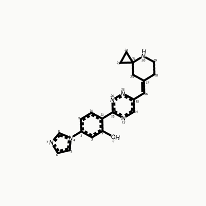 Oc1cc(-n2ccnc2)ccc1-c1ncc(/C=C2/CCNC3(CC3)C2)nn1